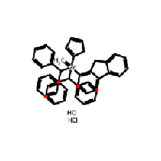 Cl.Cl.[CH2]=[Zr]([C]1=CC=CC1)([c]1cccc2c1Cc1ccccc1-2)([CH](c1ccccc1)c1ccccc1)[CH](c1ccccc1)c1ccccc1